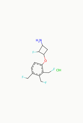 Cl.NC1CC(Oc2ccc(CF)c(CF)c2CF)C1F